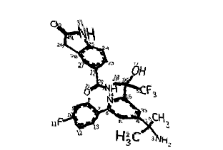 CC(C)(N)c1cc(-c2ccc(F)cc2)nc(C(O)(CNC(=O)c2ccc3c(c2)CC(=O)N3)C(F)(F)F)c1